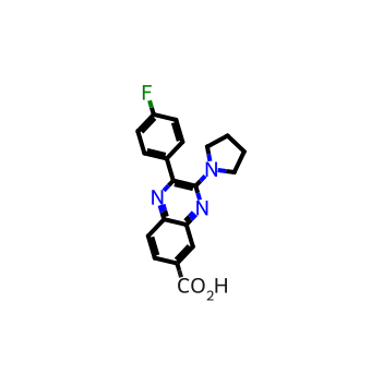 O=C(O)c1ccc2nc(-c3ccc(F)cc3)c(N3CCCC3)nc2c1